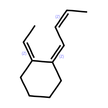 C\C=C/C=C1/CCCC/C1=C/C